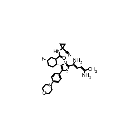 C/C(N)=C/C=C(\N)c1nc([C@@H]2CC[C@H](F)CC2C(=O)NC2(C#N)CC2)c(-c2ccc(N3CCOCC3)cc2)s1